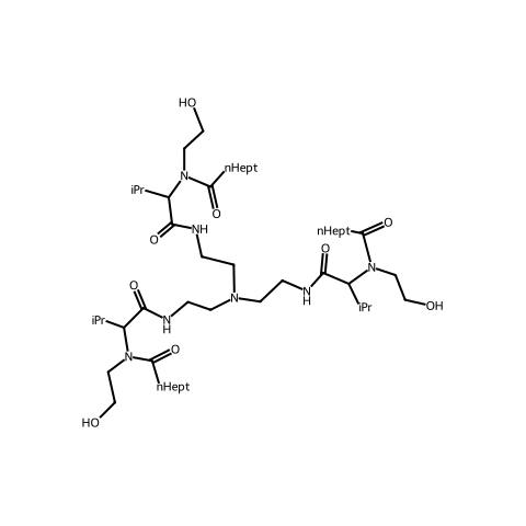 CCCCCCCC(=O)N(CCO)C(C(=O)NCCN(CCNC(=O)C(C(C)C)N(CCO)C(=O)CCCCCCC)CCNC(=O)C(C(C)C)N(CCO)C(=O)CCCCCCC)C(C)C